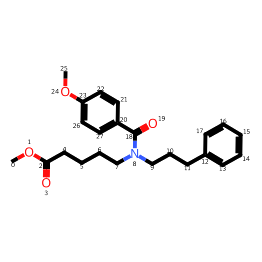 COC(=O)CCCCN(CCCc1ccccc1)C(=O)c1ccc(OC)cc1